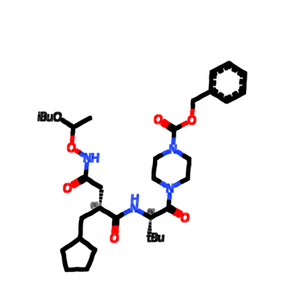 CC(C)COC(C)ONC(=O)C[C@@H](CC1CCCC1)C(=O)N[C@H](C(=O)N1CCN(C(=O)OCc2ccccc2)CC1)C(C)(C)C